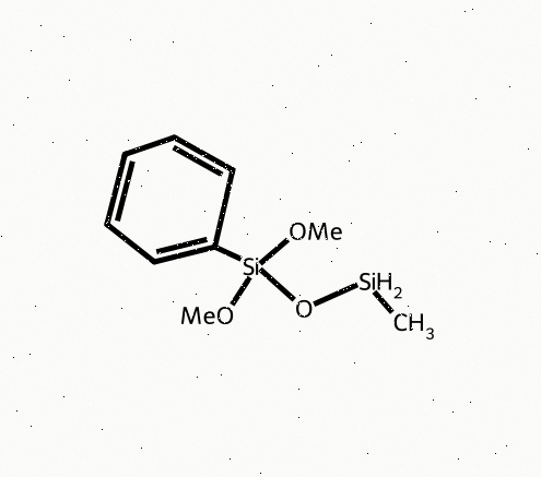 CO[Si](OC)(O[SiH2]C)c1ccccc1